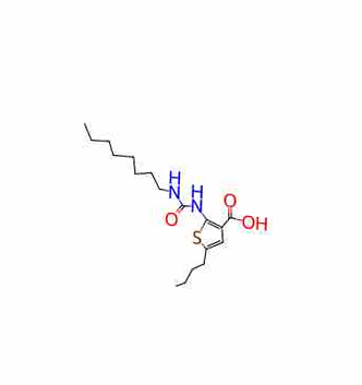 CCCCCCCCNC(=O)Nc1sc(CCCC)cc1C(=O)O